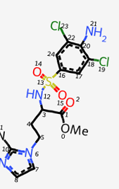 COC(=O)C(CCn1ccnc1[N+](=O)[O-])NS(=O)(=O)c1cc(Cl)c(N)c(Cl)c1